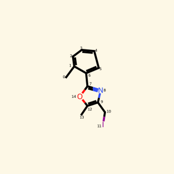 Cc1ccccc1-c1nc(CI)c(C)o1